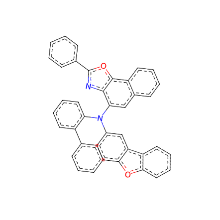 c1ccc(-c2nc3c(N(c4ccc5oc6ccccc6c5c4)c4ccccc4-c4ccccc4)cc4ccccc4c3o2)cc1